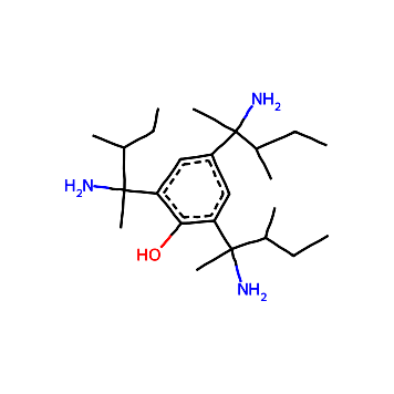 CCC(C)C(C)(N)c1cc(C(C)(N)C(C)CC)c(O)c(C(C)(N)C(C)CC)c1